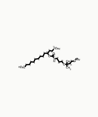 CCCCCCCCCCCCCCCCCCCC(CCCCCCCCCCCC)OC(=O)NCCCOC(C)(C)CCOC(C)(C)C